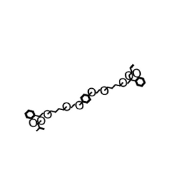 C=CC(=O)OC(COCCCCOCCOc1ccc(OCCOCCCCOCC(OC(=O)C(=C)C)c2ccccc2)cc1)c1ccccc1